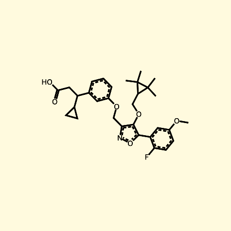 COc1ccc(F)c(-c2onc(COc3cccc(C(CC(=O)O)C4CC4)c3)c2OCC2C(C)(C)C2(C)C)c1